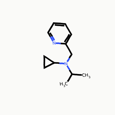 CC(C)N(Cc1ccccn1)C1CC1